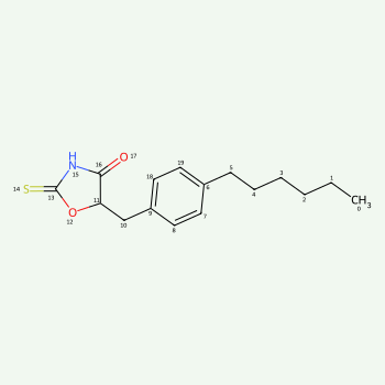 CCCCCCc1ccc(CC2OC(=S)NC2=O)cc1